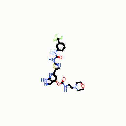 O=C(Nc1cccc(C(F)(F)F)c1)Nc1ncc(-c2cc(OC(=O)NCCN3CCOCC3)c3cn[nH]c3n2)s1